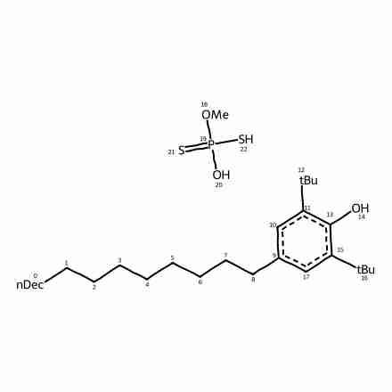 CCCCCCCCCCCCCCCCCCc1cc(C(C)(C)C)c(O)c(C(C)(C)C)c1.COP(O)(=S)S